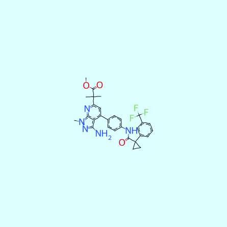 COC(=O)C(C)(C)c1cc(-c2ccc(NC(=O)C3(c4cccc(C(F)(F)F)c4)CC3)cc2)c2c(N)nn(C)c2n1